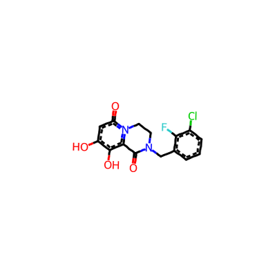 O=C1c2c(O)c(O)cc(=O)n2CCN1Cc1cccc(Cl)c1F